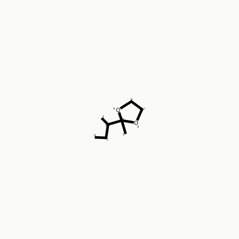 CCC(C)C1(C)OCCO1